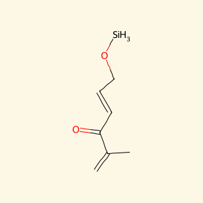 C=C(C)C(=O)C=CCO[SiH3]